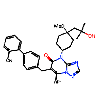 CCCc1c(Cc2ccc(-c3ccccc3C#N)cc2)c(=O)n([C@H]2CC[C@@](CC(C)(C)O)(OC)CC2)c2ncnn12